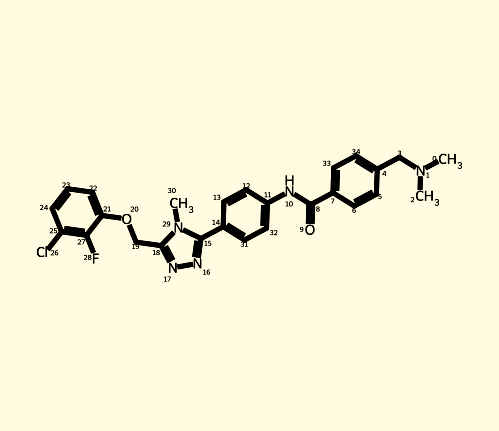 CN(C)Cc1ccc(C(=O)Nc2ccc(-c3nnc(COc4cccc(Cl)c4F)n3C)cc2)cc1